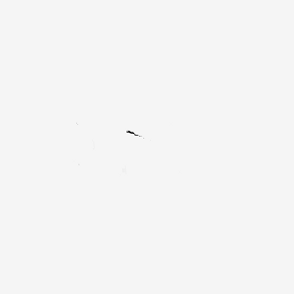 COP(=O)(O)O[C@@H]1CO[C@@H](C)C1C